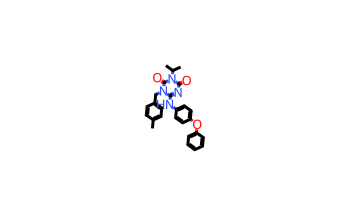 Cc1ccc(Cn2c(Nc3ccc(Oc4ccccc4)cc3)nc(=O)n(C(C)C)c2=O)cc1